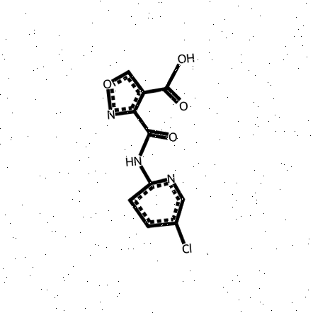 O=C(O)c1conc1C(=O)Nc1ccc(Cl)cn1